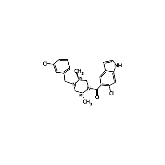 C[C@@H]1CN(Cc2cccc(Cl)c2)[C@@H](C)CN1C(=O)c1cc2cc[nH]c2cc1Cl